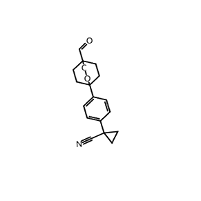 N#CC1(c2ccc(C34CCC(C=O)(CC3)CO4)cc2)CC1